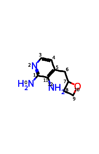 Nc1nccc(CC2CCO2)c1N